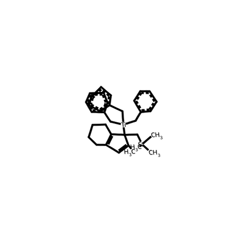 CC1=CC2=C(CCCC2)[C]1(C[Si](C)(C)C)[Ti]([CH2]c1ccccc1)([CH2]c1ccccc1)[CH2]c1ccccc1